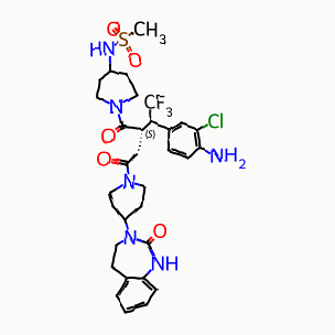 CS(=O)(=O)NC1CCN(C(=O)[C@@H](CC(=O)N2CCC(N3CCc4ccccc4NC3=O)CC2)C(c2ccc(N)c(Cl)c2)C(F)(F)F)CC1